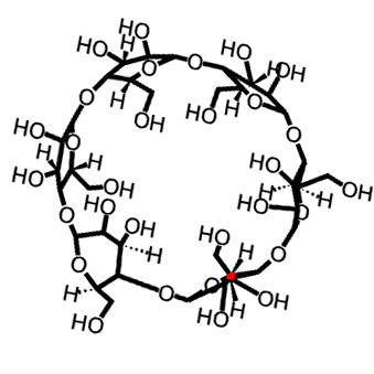 OC[C@H]1OC2OC3[C@H](O)C(O)C(OC4[C@H](O)C(O)C(OC5[C@H](O)C(O)C(OC6[C@H](O)C(O)C(OC7[C@H](O)C(O)C(OC1[C@H](O)C2O)O[C@@H]7CO)O[C@@H]6CO)O[C@@H]5CO)O[C@@H]4CO)O[C@@H]3CO